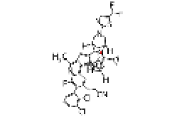 Cc1nc2c(F)c(-c3cccc(Cl)c3Cl)c(CCC#N)cc2c2c1cc([C@H]1[C@H]3C[C@H](CN(c4ncc(C(F)F)s4)C3)N1C(=O)C1CC1)n2[C@H]1[C@H]2CN[C@@H]1C2